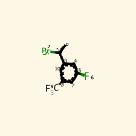 CC(Br)c1cc(F)cc(C(F)(F)F)c1